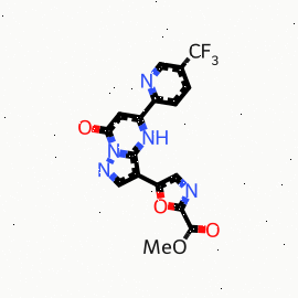 COC(=O)c1ncc(-c2cnn3c(=O)cc(-c4ccc(C(F)(F)F)cn4)[nH]c23)o1